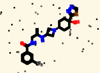 C=C(CNC(=O)c1cccc(C(F)(F)F)c1)NC1CN([C@H]2CC[C@@](O)(c3nncs3)CC2)C1